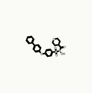 O=C(C1CCOCC1)N(O)S(=O)(=O)c1ccc(Oc2ccc(-c3ccccc3)cc2)cc1